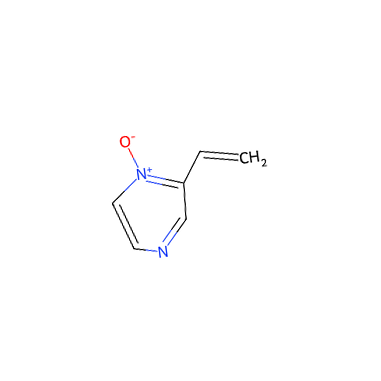 C=Cc1cncc[n+]1[O-]